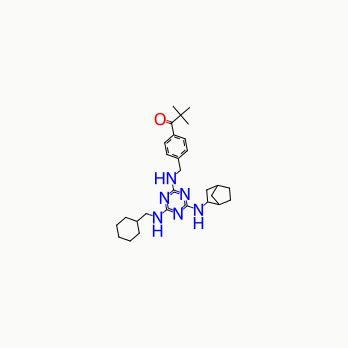 CC(C)(C)C(=O)c1ccc(CNc2nc(NCC3CCCCC3)nc(NC3CC4CCC3C4)n2)cc1